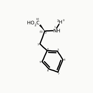 [3H]N[C@@H](Cc1ccccc1)C(=O)O